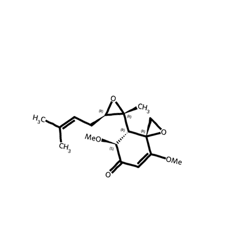 COC1=CC(=O)[C@@H](OC)[C@H]([C@@]2(C)O[C@@H]2CC=C(C)C)[C@@]12CO2